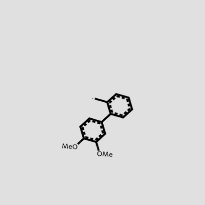 [CH2]c1ccccc1-c1ccc(OC)c(OC)c1